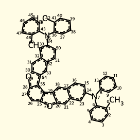 Cc1ccccc1N(c1ccccc1)c1ccc2cc3c(cc2c1)oc1ccc2oc4cc5cc(N(c6ccccc6C)c6ccccc6C)ccc5cc4c2c13